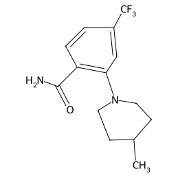 CC1CCN(c2cc(C(F)(F)F)ccc2C(N)=O)CC1